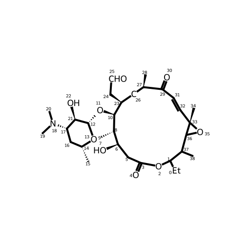 CCC1OC(=O)C[C@@H](O)[C@H](C)[C@@H](O[C@@H]2O[C@H](C)C[C@H](N(C)C)[C@H]2O)[C@@H](CC=O)C[C@@H](C)C(=O)/C=C/[C@]2(C)OC2C1C